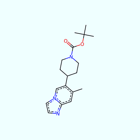 Cc1cc2nccn2cc1C1CCN(C(=O)OC(C)(C)C)CC1